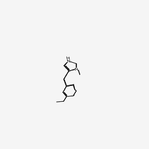 CCC1=CC(CC2=CNCN2C)CCC1